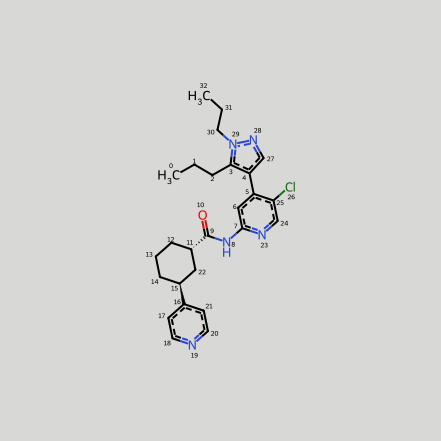 CCCc1c(-c2cc(NC(=O)[C@H]3CCC[C@H](c4ccncc4)C3)ncc2Cl)cnn1CCC